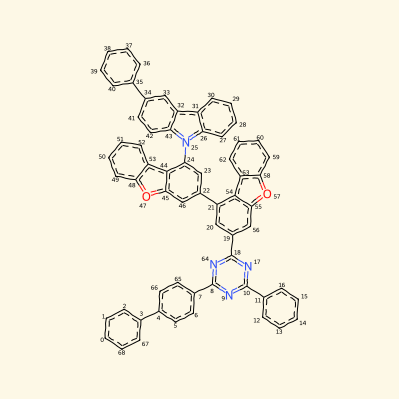 c1ccc(-c2ccc(-c3nc(-c4ccccc4)nc(-c4cc(-c5cc(-n6c7ccccc7c7cc(-c8ccccc8)ccc76)c6c(c5)oc5ccccc56)c5c(c4)oc4ccccc45)n3)cc2)cc1